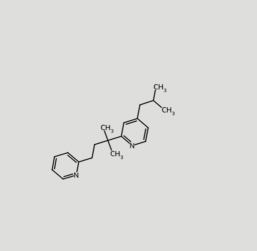 CC(C)Cc1ccnc(C(C)(C)CCc2ccccn2)c1